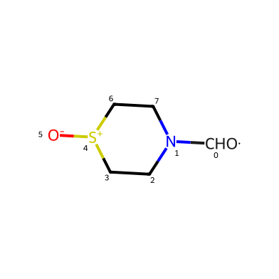 O=[C]N1CC[S+]([O-])CC1